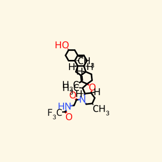 CC1=C2C[C@H]3[C@@H](CC=C4C[C@@H](O)CC[C@@]43C)[C@@H]2CCC12O[C@@H]1C[C@H](C)CN(C(=O)CNC(=O)C(F)(F)F)[C@H]1[C@H]2C